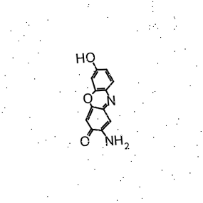 Nc1cc2nc3ccc(O)cc3oc-2cc1=O